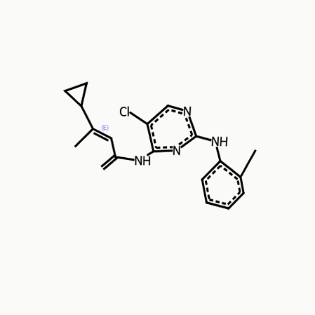 C=C(/C=C(\C)C1CC1)Nc1nc(Nc2ccccc2C)ncc1Cl